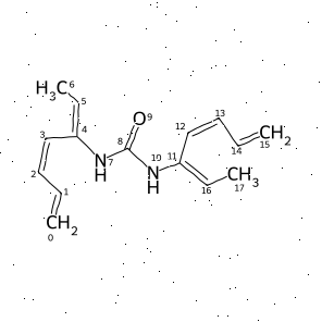 C=C/C=C\C(=C/C)NC(=O)NC(/C=C\C=C)=C/C